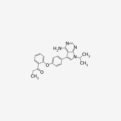 CCC(=O)c1ccccc1Oc1ccc(-c2cn(C(C)C)c3ncnc(N)c23)cc1